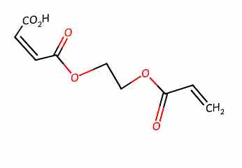 C=CC(=O)OCCOC(=O)/C=C\C(=O)O